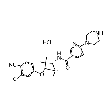 CC1(C)[C@H](NC(=O)c2ccc(N3CCNCC3)nc2)C(C)(C)[C@H]1Oc1ccc(C#N)c(Cl)c1.Cl